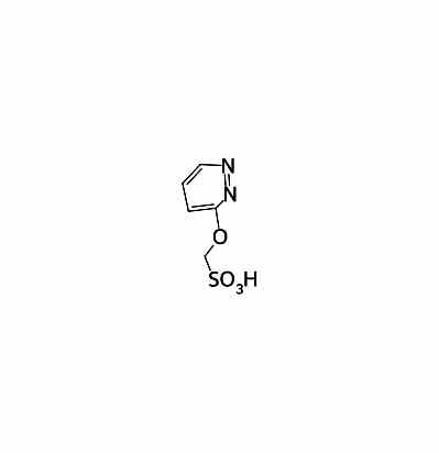 O=S(=O)(O)COc1cccnn1